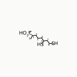 CC(CCCC(S)CCS)C(=O)O